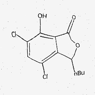 CCCCC1OC(=O)c2c(O)c(Cl)cc(Cl)c21